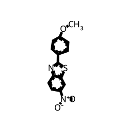 COc1ccc(-c2nc3ccc([N+](=O)[O-])cc3s2)cc1